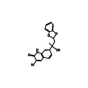 CCc1cc2ccc(C(C)(C#N)CC3Oc4ccccc4O3)cc2[nH]c1=O